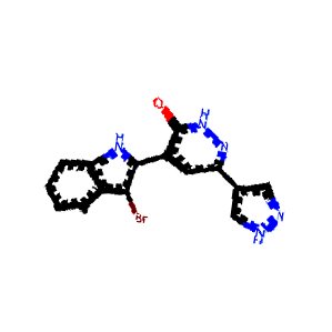 O=c1[nH]nc(-c2cn[nH]c2)cc1-c1[nH]c2ccccc2c1Br